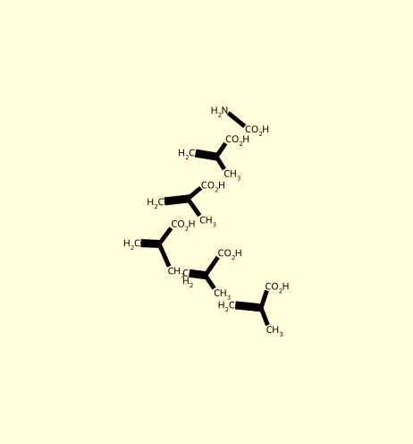 C=C(C)C(=O)O.C=C(C)C(=O)O.C=C(C)C(=O)O.C=C(C)C(=O)O.C=C(C)C(=O)O.NC(=O)O